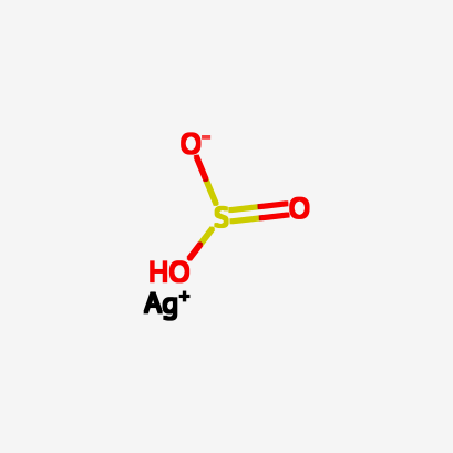 O=S([O-])O.[Ag+]